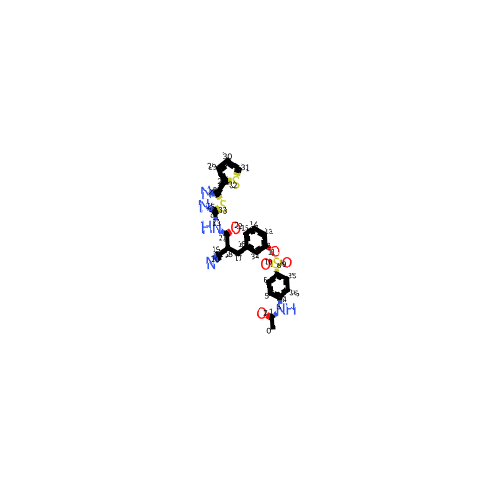 CC(=O)Nc1ccc(S(=O)(=O)Oc2cccc(CC(C#N)C(=O)Nc3nnc(-c4cccs4)s3)c2)cc1